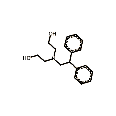 OCCN(CCO)CC(c1ccccc1)c1ccccc1